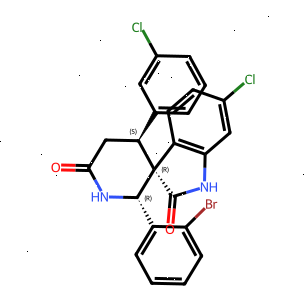 O=C1C[C@@H](c2cccc(Cl)c2)[C@]2(C(=O)Nc3cc(Cl)ccc32)[C@H](c2ccccc2Br)N1